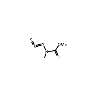 COC(=O)N(C)N=S=S